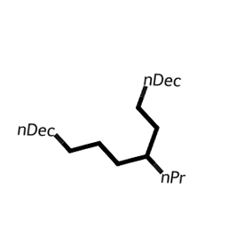 [CH2]CCC(CCCCCCCCCCCC)CCCCCCCCCCCCC